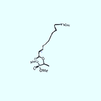 CCCCCCCCCCCCCCC/C=C/C(=O)OC(C)P(=O)(OC)OC